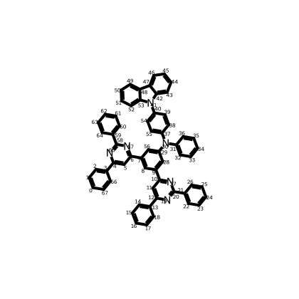 c1ccc(-c2cc(-c3cc(-c4cc(-c5ccccc5)nc(-c5ccccc5)n4)cc(N(c4ccccc4)c4ccc(-n5c6ccccc6c6ccccc65)cc4)c3)nc(-c3ccccc3)n2)cc1